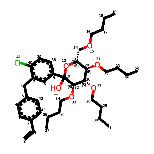 C=Cc1ccc(Cc2cc(C3(O)O[C@H](COCCCC)[C@@H](OCCCC)[C@H](OCCCC)[C@H]3OCCCC)ccc2Cl)cc1